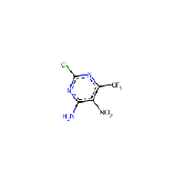 Nc1nc(Cl)nc(C(F)(F)F)c1[N+](=O)[O-]